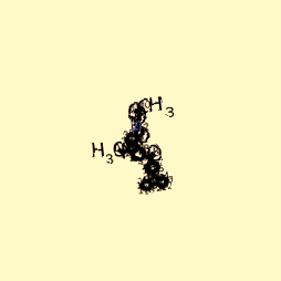 CCn1c2ccc(C(=O)c3ccc(-n4c5ccccc5c5ccccc54)cc3)cc2c2c3c(ccc21)/C(=N/OC(C)=O)CO3